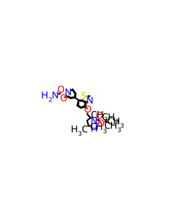 CC(C)CC(C)(COc1ccc(-c2ccnc(OC(N)=O)c2)c2scnc12)NC(=O)OC(C)(C)C